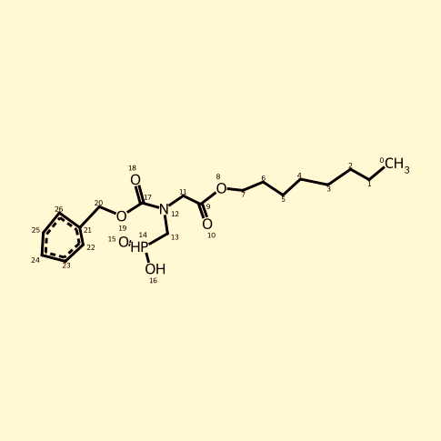 CCCCCCCCOC(=O)CN(C[PH](=O)O)C(=O)OCc1ccccc1